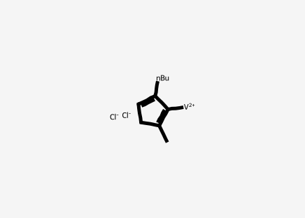 CCCCC1=CCC(C)=[C]1[V+2].[Cl-].[Cl-]